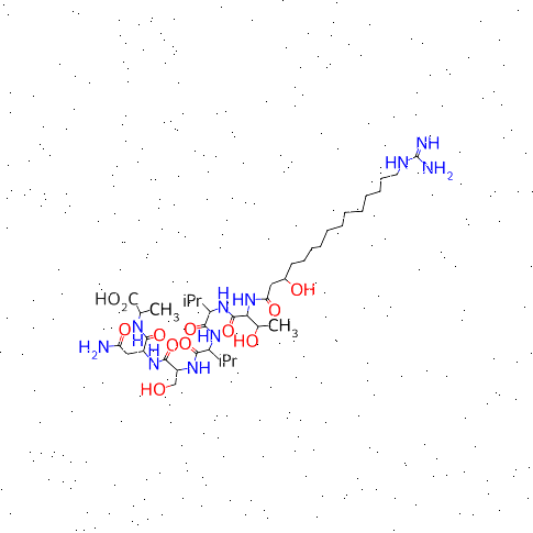 CC(NC(=O)C(CC(N)=O)NC(=O)C(CO)NC(=O)C(NC(=O)C(NC(=O)C(NC(=O)CC(O)CCCCCCCCCCCCNC(=N)N)C(C)O)C(C)C)C(C)C)C(=O)O